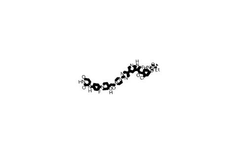 CCN(C)S(=O)(=O)Nc1ccc(Cl)c(C(=O)c2c[nH]c3ncc(-c4cnc(N5CCN(C(=O)CC6(O)CCN(c7ccc(NC8CCC(=O)NC8=O)cc7F)CC6)CC5)nc4)cc23)c1F